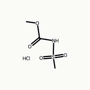 COC(=O)NS(C)(=O)=O.Cl